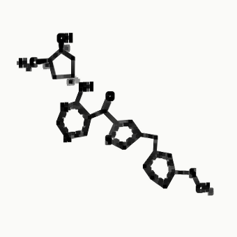 [CH2][C@@H]1C[C@@H](Nc2ncncc2C(=O)c2cc(Cc3cccc(SC)c3)cs2)C[C@@H]1O